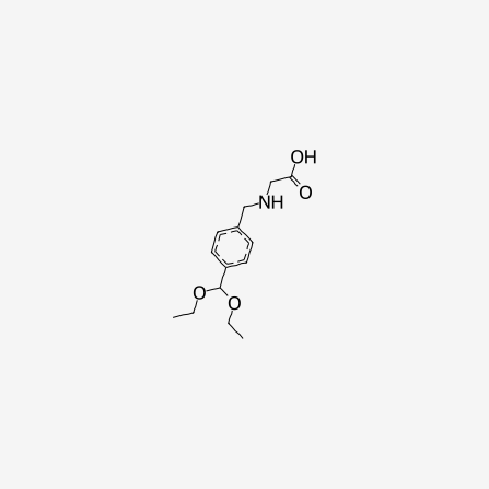 CCOC(OCC)c1ccc(CNCC(=O)O)cc1